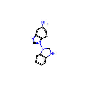 Nc1ccc2c(c1)ncn2N1CNc2ccccc21